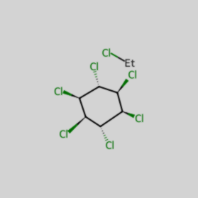 CCCl.Cl[C@H]1[C@H](Cl)[C@@H](Cl)[C@@H](Cl)[C@H](Cl)[C@H]1Cl